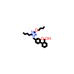 CCCCOc1nc(CCCC)n(Cc2ccc(-c3ccccc3C(=O)O)cc2)n1